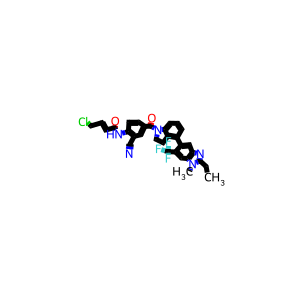 CCc1nc2cc(-c3cccc4c3CCN4C(=O)c3ccc(NC(=O)/C=C/CCl)c(C#N)c3)c(C(F)(F)F)cc2n1C